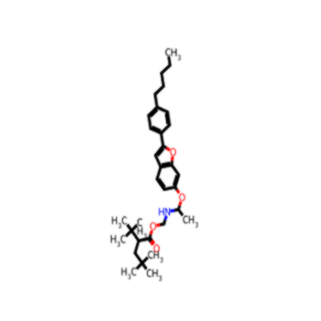 CCCCCc1ccc(-c2cc3ccc(OC(C)NCOC(=O)C(CC(C)(C)C)C(C)(C)C)cc3o2)cc1